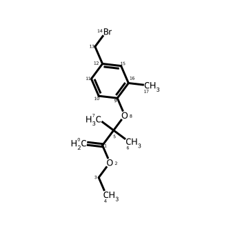 C=C(OCC)C(C)(C)Oc1ccc(CBr)cc1C